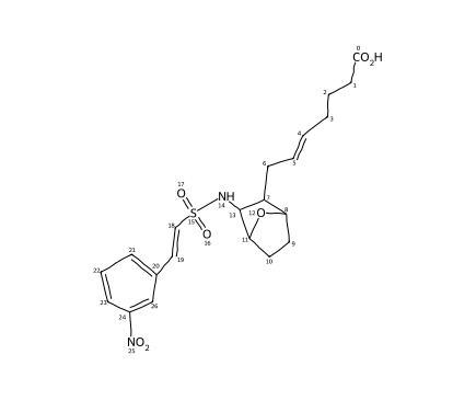 O=C(O)CCCC=CCC1C2CCC(O2)C1NS(=O)(=O)C=Cc1cccc([N+](=O)[O-])c1